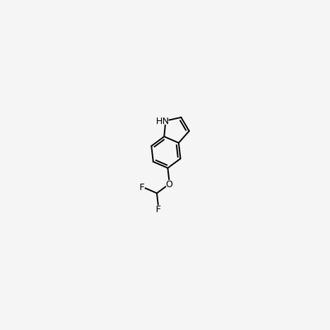 FC(F)Oc1ccc2[nH]ccc2c1